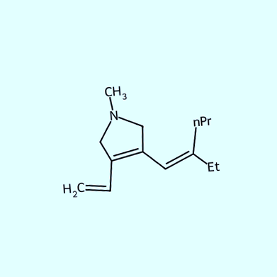 C=CC1=C(/C=C(/CC)CCC)CN(C)C1